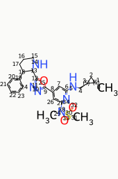 C[C@H]1C[C@@H]1CNc1cc(-c2nnc(C3NCCCC3c3ccccc3)o2)cc(N(C)S(C)(=O)=O)n1